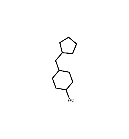 CC(=O)C1CCC(CC2CCCC2)CC1